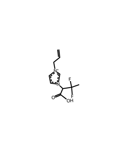 C=CC[n+]1ccn(C(C(=O)O)C(C)(F)F)c1